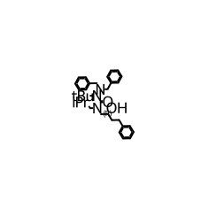 CC(C)CN(C[C@H](O)CCc1ccccc1)C(=O)N(N(Cc1ccccc1)Cc1ccccc1)C(C)(C)C